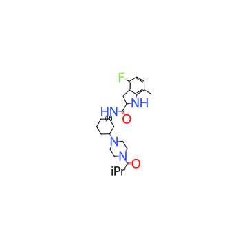 Cc1ccc(F)c2c1NC(C(=O)N[C@@H]1CCCC(N3CCN(C(=O)C(C)C)CC3)C1)C2